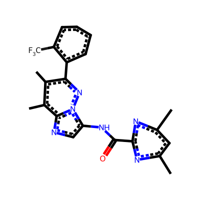 Cc1cc(C)nc(C(=O)Nc2cnc3c(C)c(C)c(-c4ccccc4C(F)(F)F)nn23)n1